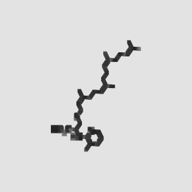 CC(C)=CCCC(C)=CCCC(C)=CCCC(C)=CCSCC(Nc1ncccc1C)C(=O)O